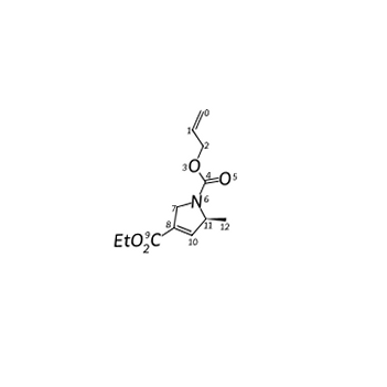 C=CCOC(=O)N1CC(C(=O)OCC)=C[C@@H]1C